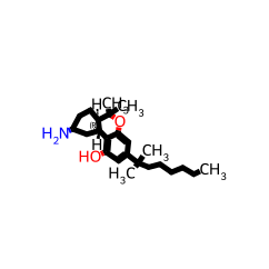 CCCCCCC(C)(C)c1cc(O)c2c(c1)OC(C)(C)[C@@H]1CCC(N)C[C@@H]21